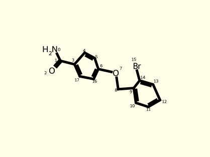 NC(=O)c1ccc(OCc2ccccc2Br)cc1